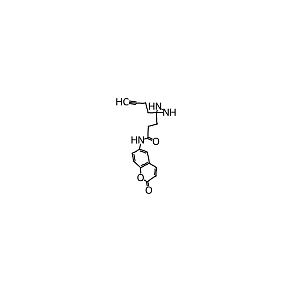 C#CCCC1(CCC(=O)Nc2ccc3oc(=O)ccc3c2)NN1